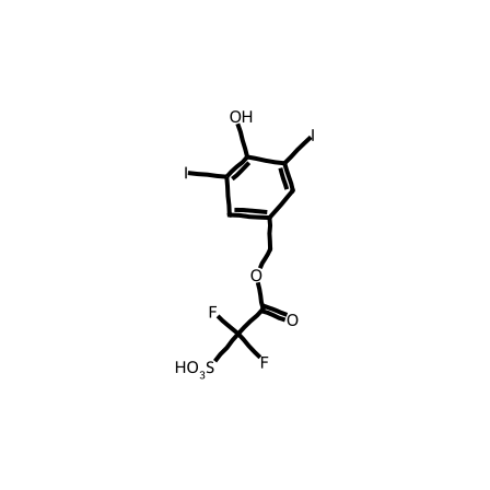 O=C(OCc1cc(I)c(O)c(I)c1)C(F)(F)S(=O)(=O)O